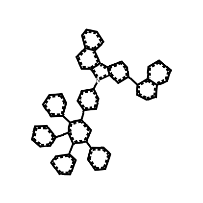 c1ccc(-c2cc(-c3ccc(-n4c5cc(-c6cccc7ccccc67)ccc5c5c6ccccc6ccc54)cc3)c(-c3ccccc3)c(-c3ccccc3)c2-c2ccccc2)cc1